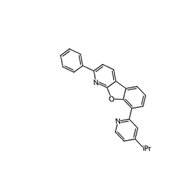 CC(C)c1ccnc(-c2cccc3c2oc2nc(-c4ccccc4)ccc23)c1